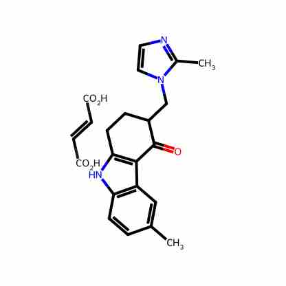 Cc1ccc2[nH]c3c(c2c1)C(=O)C(Cn1ccnc1C)CC3.O=C(O)C=CC(=O)O